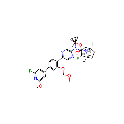 COCOc1cc(-c2cc(F)nc(OC)c2)ccc1-c1cnc(N(C2CC2)C2C[C@H]3CC[C@@H]([C@@H]2F)N3C(=O)OC(C)(C)C)cn1